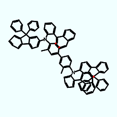 Cc1cc(-c2ccc(N(c3ccc4c(c3)C(c3ccccc3)(c3ccccc3)c3ccccc3-4)c3ccccc3-c3cccc4ccccc34)c(C)c2)ccc1N(c1ccc2c(c1)C(c1ccccc1)(c1ccccc1)c1ccccc1-2)c1ccccc1-c1cccc2ccccc12